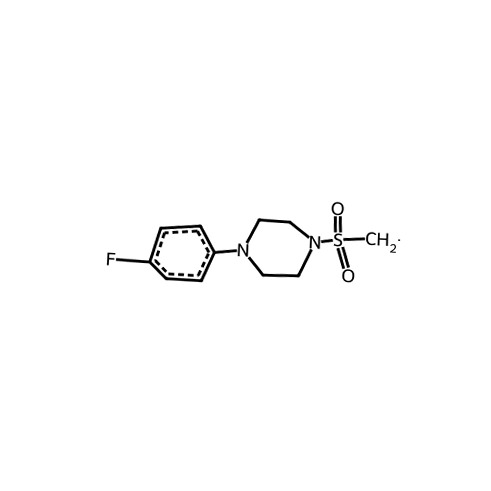 [CH2]S(=O)(=O)N1CCN(c2ccc(F)cc2)CC1